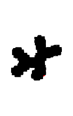 c1ccc(-c2ccc3c(c2)c2cc(-c4ccccc4)ccc2n3-c2ccc(N(c3ccc(-n4c5ccc(-c6ccccc6)cc5c5cc(-c6ccccc6)ccc54)cc3)c3ccc4oc5ccccc5c4c3)cc2)cc1